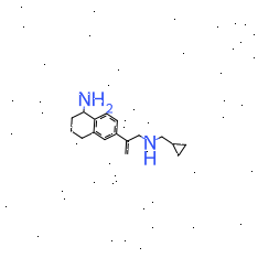 C=C(CNCC1CC1)c1ccc2c(c1)CCCC2N